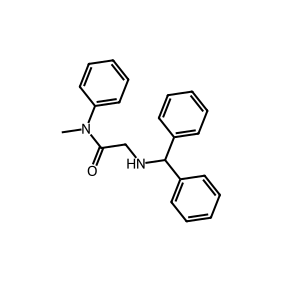 CN(C(=O)CNC(c1ccccc1)c1ccccc1)c1ccccc1